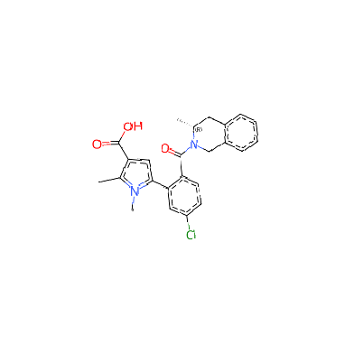 Cc1c(C(=O)O)cc(-c2cc(Cl)ccc2C(=O)N2Cc3ccccc3C[C@H]2C)n1C